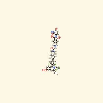 C[C@@H]1Cc2cc(O)ccc2[C@@H](c2c(F)cc(C3CCC4(CC3)CCN(C(=O)CN3Cc5cc6c(cc5C3)C(=O)N(C3CCC(=O)NC3=O)C6=O)CC4)cc2F)N1CC(F)F